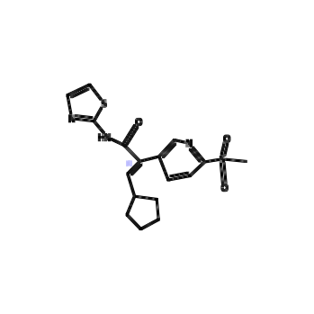 CS(=O)(=O)c1ccc(/C(=C\C2CCCC2)C(=O)Nc2nccs2)cn1